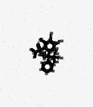 CN(C)S(=O)(=O)c1c(F)c(F)c(F)c(F)c1C(O)(c1ccccc1)C(F)(F)F